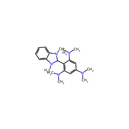 CN(C)c1cc(N(C)C)c(C2N(C)c3ccccc3N2C)c(N(C)C)c1